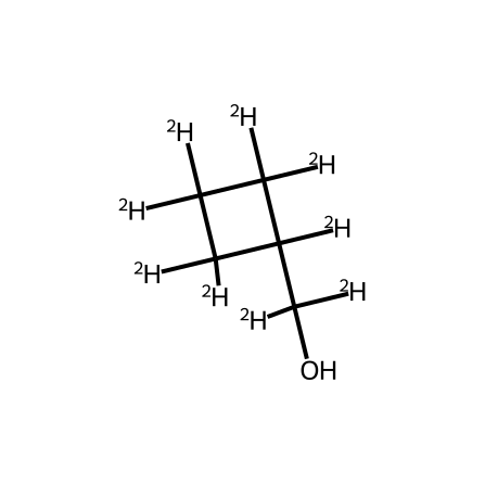 [2H]C([2H])(O)C1([2H])C([2H])([2H])C([2H])([2H])C1([2H])[2H]